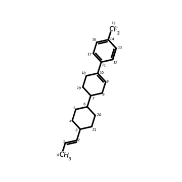 C/C=C/C1CCC(C2CC=C(c3ccc(C(F)(F)F)cc3)CC2)CC1